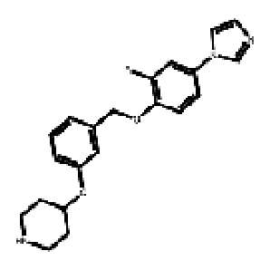 Fc1cc(-n2ccnc2)ccc1OCc1cccc(OC2CCNCC2)c1